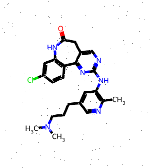 Cc1ncc(CCCN(C)C)cc1Nc1ncc2c(n1)-c1ccc(Cl)cc1NC(=O)C2